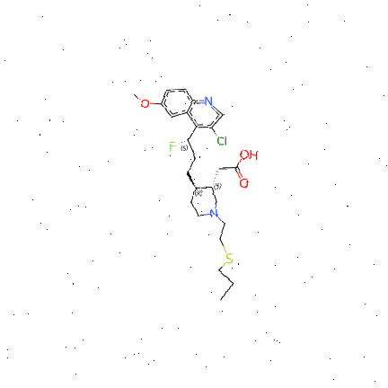 CCCSCCN1CC[C@@H](CC[C@H](F)c2c(Cl)cnc3ccc(OC)cc23)[C@H](CC(=O)O)C1